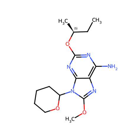 CC[C@H](C)Oc1nc(N)c2nc(OC)n(C3CCCCO3)c2n1